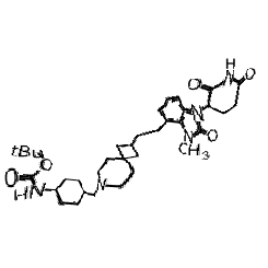 Cn1c(=O)n(C2CCC(=O)NC2=O)c2cccc(CCC3CC4(CCN(CC5CCC(NC(=O)OC(C)(C)C)CC5)CC4)C3)c21